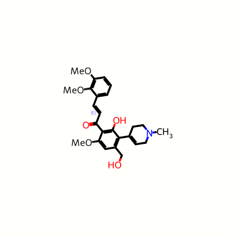 COc1cccc(/C=C/C(=O)c2c(OC)cc(CO)c(C3=CCN(C)CC3)c2O)c1OC